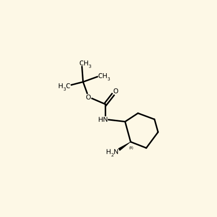 CC(C)(C)OC(=O)NC1CCCC[C@H]1N